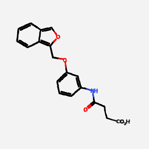 O=C(O)CCC(=O)Nc1cccc(OCc2occ3ccccc23)c1